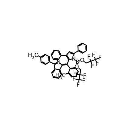 Cc1ccc(C2=N/C(=C(/c3ccccc3C)c3c(-c4ccccc4)cc(-c4ccccc4)n3B(OCC(F)(F)C(F)(F)F)OCC(F)(F)C(F)(F)F)c3ccccc32)cc1